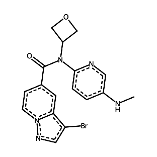 CNc1ccc(N(C(=O)c2ccn3ncc(Br)c3c2)C2COC2)nc1